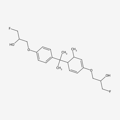 CC1C=C(OCC(O)CF)C=CC1C(C)(C)c1ccc(OCC(O)CF)cc1